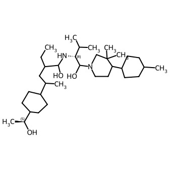 CCC(CC(C)C1CCC([C@H](C)O)CC1)C(O)N[C@H](C(C)C)C(O)N1CCC(C2CCC(C)CC2)C(C)(C)C1